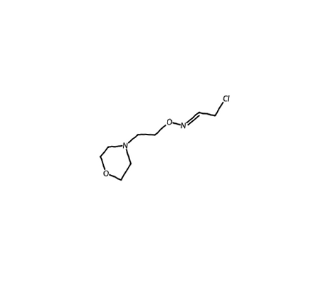 ClCC=NOCCN1CCOCC1